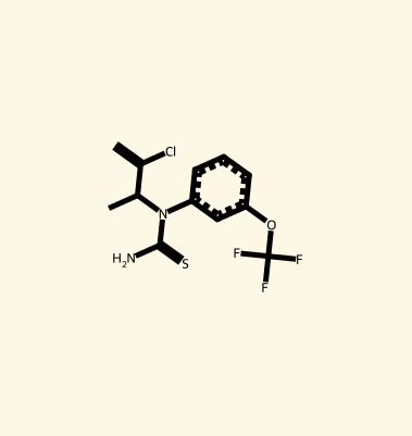 C=C(Cl)C(C)N(C(N)=S)c1cccc(OC(F)(F)F)c1